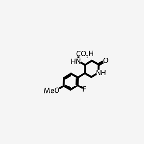 COc1ccc(C2CNC(=O)CC2NC(=O)O)c(F)c1